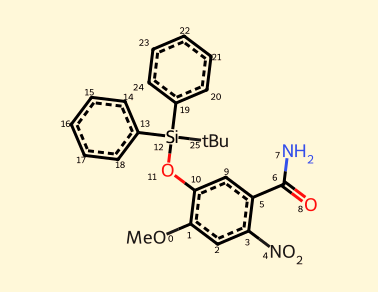 COc1cc([N+](=O)[O-])c(C(N)=O)cc1O[Si](c1ccccc1)(c1ccccc1)C(C)(C)C